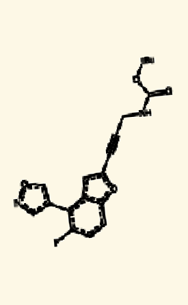 CC(C)(C)OC(=O)NCC#Cc1cc2c(-c3cnoc3)c(F)ccc2o1